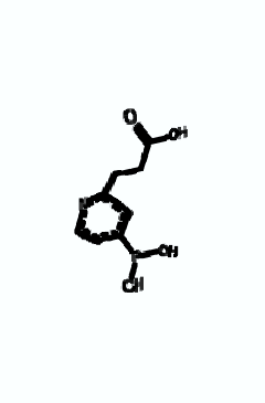 O=C(O)CCc1cc(P(O)O)ccn1